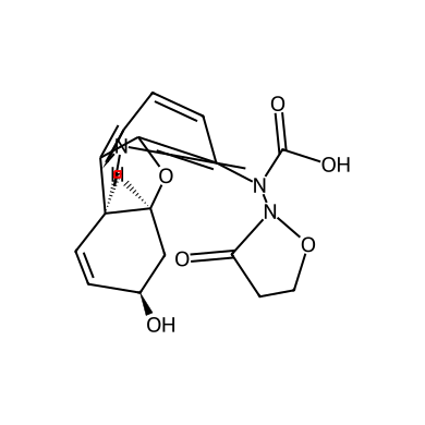 CN1CC[C@@]23C=C[C@H](O)C[C@@H]2Oc2c(N(C(=O)O)N4OCCC4=O)ccc(c23)C1